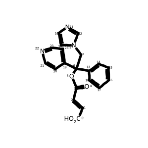 O=C(O)/C=C/C(=O)OC(Cn1ccnc1)(c1ccccc1)c1ccncc1